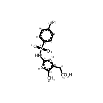 CCCc1ccc(S(=O)(=O)Nc2nc(CC(=O)O)c(C)s2)cc1